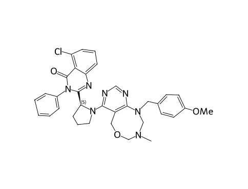 COc1ccc(CN2CN(C)COCc3c2ncnc3N2CCC[C@H]2c2nc3cccc(Cl)c3c(=O)n2-c2ccccc2)cc1